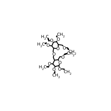 C=COCC1OC(OC=C)C(OC=C)C(OC=C)C1COCC1OC(COC=C)C(OC=C)C(OC=C)C1OC=C